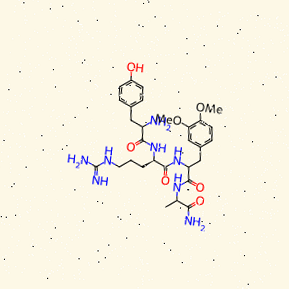 COc1ccc(CC(NC(=O)[C@@H](CCCNC(=N)N)NC(=O)C(N)Cc2ccc(O)cc2)C(=O)NC(C)C(N)=O)cc1OC